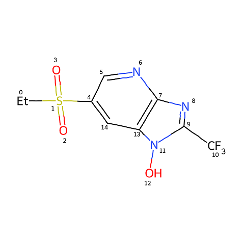 CCS(=O)(=O)c1cnc2nc(C(F)(F)F)n(O)c2c1